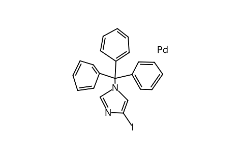 Ic1cn(C(c2ccccc2)(c2ccccc2)c2ccccc2)cn1.[Pd]